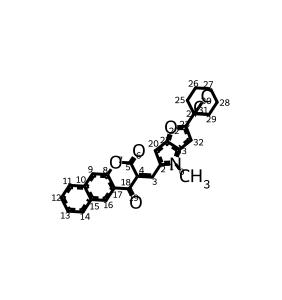 Cn1c(/C=C2\C(=O)Oc3cc4ccccc4cc3C2=O)cc2oc(C34CCC(CC3)CC4)cc21